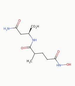 CC(CCC(=O)NO)C(=O)N[C@@H](CC(N)=O)C(=O)O